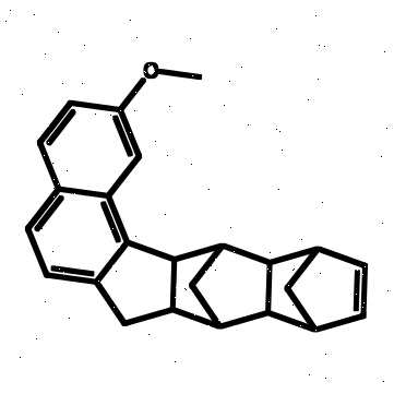 COc1ccc2ccc3c(c2c1)C1C(C3)C2CC1C1C3C=CC(C3)C21